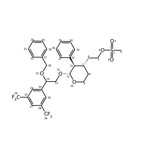 CS(=O)(=O)OCC[C@@H]1CCO[C@H](OCC(OCc2ccccc2)c2cc(C(F)(F)F)cc(C(F)(F)F)c2)[C@H]1c1ccccc1